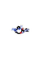 CC1CN(c2cnc3c(c2)C(=O)Nc2cccc(n2)C(=N)N(C=N)C(C)CCCO3)CCN1C